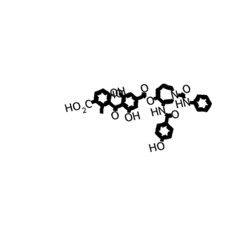 Cc1c(C(=O)O)ccc(O)c1C(=O)c1c(O)cc(C(=O)OC2=CC=CN(C(=O)Nc3ccccc3)C=C2NC(=O)c2ccc(O)cc2)cc1O